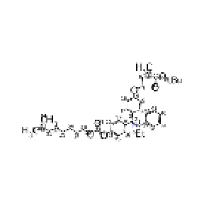 CC/C(=C(/c1ccc(OCCN(C)C(=O)OC(C)(C)C)cc1)c1ccc(OC(=O)OCCCCCCN(C)C)cc1)c1ccccc1